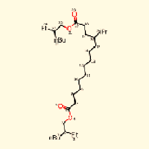 CCCCC(CC)COC(=O)CCCCCCCCCC(CCC(=O)OCC(CC)CCCC)C(C)C